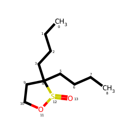 CCCCC1(CCCC)CCOS1=O